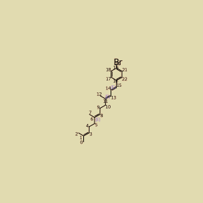 CC(C)=CCC/C(C)=C/CC/C(C)=C/C=C/c1ccc(Br)cc1